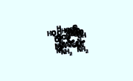 Cc1ncc(C[n+]2csc(CCOP(=O)(O)OP(=O)(O)OP(=O)([O-])O)c2C)c(N)n1.Nc1ncnc2c1ncn2[C@@H]1O[C@H](CO)[C@@H](O)[C@H]1O